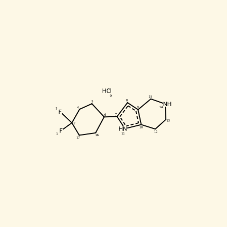 Cl.FC1(F)CCC(c2cc3c([nH]2)CCNC3)CC1